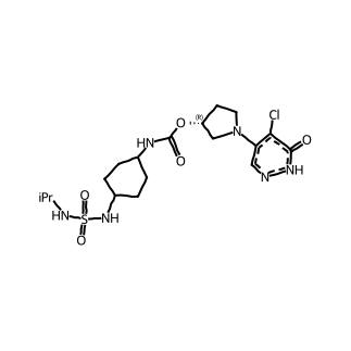 CC(C)NS(=O)(=O)NC1CCC(NC(=O)O[C@@H]2CCN(c3cn[nH]c(=O)c3Cl)C2)CC1